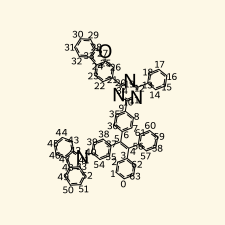 c1ccc(C(=C(c2ccc(-c3nc(-c4ccccc4)nc(-c4ccc5c(c4)oc4ccccc45)n3)cc2)c2ccc(-n3c4ccccc4c4ccccc43)cc2)c2ccccc2)cc1